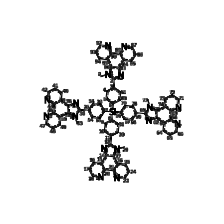 Cn1c(-c2ccc([Si](c3ccc(-c4nc5c6cccnc6c6ncccc6c5n4C)cc3)(c3ccc(-c4nc5c6cccnc6c6ncccc6c5n4C)cc3)c3ccc(-c4nc5c6cccnc6c6ncccc6c5n4C)cc3)cc2)nc2c3cccnc3c3ncccc3c21